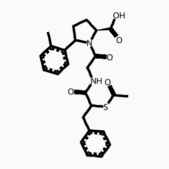 CC(=O)SC(Cc1ccccc1)C(=O)NCC(=O)N1C(c2ccccc2C)CC[C@H]1C(=O)O